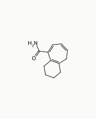 NC(=O)C1=CC=CCC2=C1CCCC2